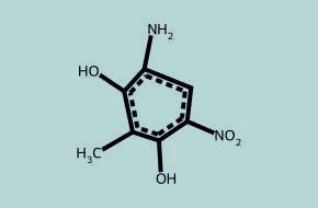 Cc1c(O)c(N)cc([N+](=O)[O-])c1O